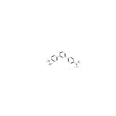 CN1NC1(c1ccc(-c2cccc(-c3ccc(C4(C(F)(F)F)N=N4)cc3)c2)cc1)C(F)(F)F